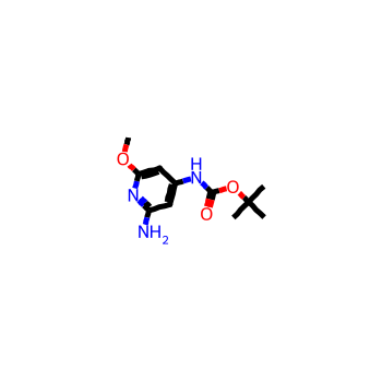 COc1cc(NC(=O)OC(C)(C)C)cc(N)n1